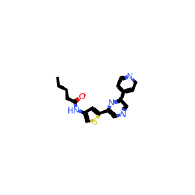 CCCCC(=O)Nc1csc(-c2cncc(C3=CCN=CC3)n2)c1